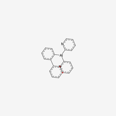 c1cc[c]([Al]([c]2ccccn2)[c]2ccccc2-c2ccccn2)cc1